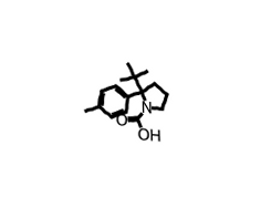 Cc1ccc(C2(C(C)(C)C)CCCN2C(=O)O)cc1